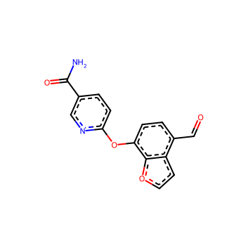 NC(=O)c1ccc(Oc2ccc(C=O)c3ccoc23)nc1